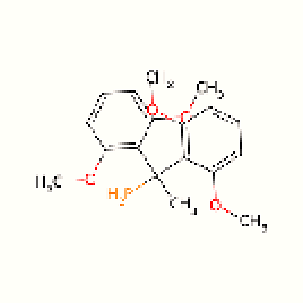 COc1cccc(OC)c1C(C)(P)c1c(OC)cccc1OC